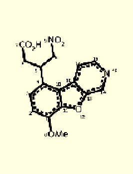 COc1ccc(C(CC(=O)O)C[N+](=O)[O-])c2c1oc1cnccc12